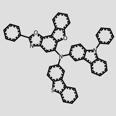 c1ccc(-c2nc3cc(N(c4ccc5sc6ccccc6c5c4)c4ccc5c(c4)c4ccccc4n5-c4ccccc4)c4oc5ccccc5c4c3o2)cc1